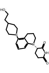 O=C1CC[C@H](N2CCCc3c(N4CCC(CCO)CC4)cccc32)C(=O)N1